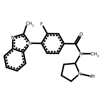 Cc1nc2ccccc2n1-c1ccc(C(=O)N(C)C2CCCN2C(C)C)cc1F